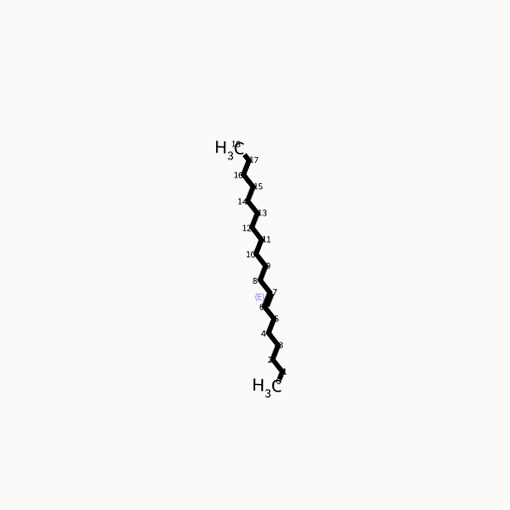 CCCCCC/C=C/CCCCCCCCCCC